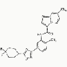 Cc1ccn2c(C(=O)Nc3cc(-c4noc(C5CCC(F)(F)CC5)n4)ccc3C)cnc2c1